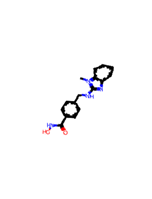 Cn1c(NCc2ccc(C(=O)NO)cc2)nc2ccccc21